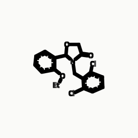 CCOc1ccccc1C1OCC(=O)N1Cc1c(Cl)cccc1Cl